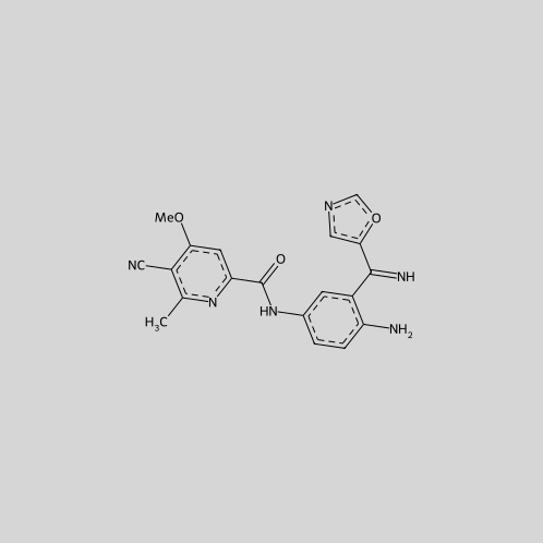 COc1cc(C(=O)Nc2ccc(N)c(C(=N)c3cnco3)c2)nc(C)c1C#N